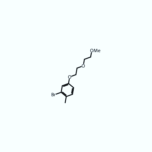 COCCOCCOc1ccc(C)c(Br)c1